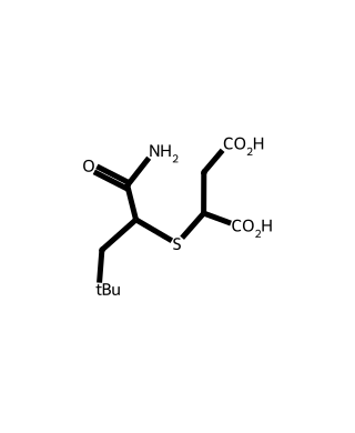 CC(C)(C)CC(SC(CC(=O)O)C(=O)O)C(N)=O